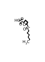 CCCCCC[N+]([O-])=Cc1ccc(S(=O)(=O)O)o1